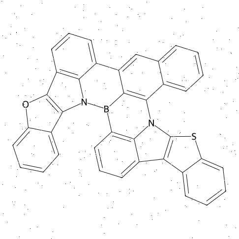 c1ccc2c3c4c(cc2c1)-c1cccc2c5oc6ccccc6c5n(c12)B4c1cccc2c4c5ccccc5sc4n-3c12